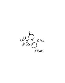 COc1cc(OC)c(C2CCN(C)CC2OS(C)(=O)=O)c(OC)c1